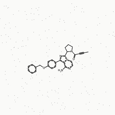 CC#CC(=O)N1CCCC1c1nc(-c2ccc(OCc3ccccc3)cc2)c2c(N)nccn12